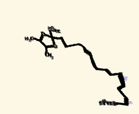 CCCCC/C=C\C/C=C\CCCCCCCCC1(CCCCCCCCCC)OC(C)C(C)O1